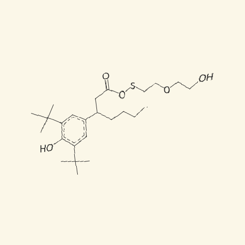 [CH2]CCCC(CC(=O)OSCCOCCO)c1cc(C(C)(C)C)c(O)c(C(C)(C)C)c1